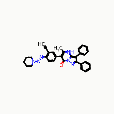 C#Cc1cc(-c2c(C)[nH]c3c(-c4ccccc4)c(-c4ccccc4)nn3c2=O)ccc1N=NN1CCCCC1